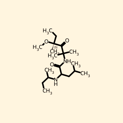 CCC(C)NC(CC(C)C)C(=O)NC(C)(C)C(=O)[C@](C)(CC)OC